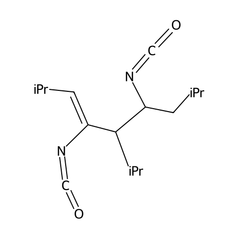 CC(C)C=C(N=C=O)C(C(C)C)C(CC(C)C)N=C=O